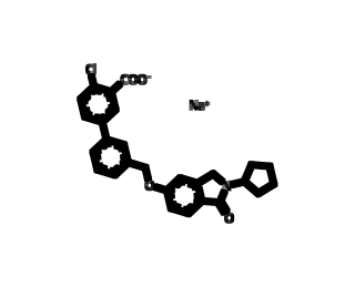 O=C([O-])c1cc(-c2cccc(COc3ccc4c(c3)CN(C3CCCC3)C4=O)c2)ccc1Cl.[Na+]